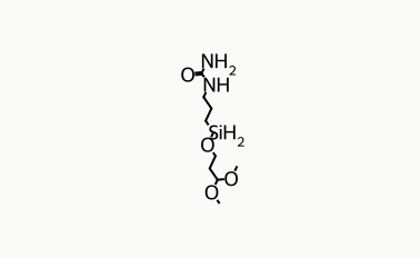 COC(CCO[SiH2]CCCNC(N)=O)OC